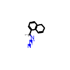 C[C@@H](N=[N+]=[N-])c1cccc2c1C=CCC2